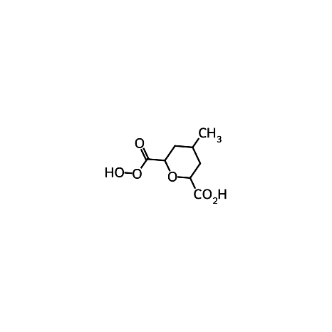 CC1CC(C(=O)O)OC(C(=O)OO)C1